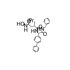 CC(C)C[C@H](CC(=O)NO)C(=O)NC(C(=O)NCc1ccccc1)c1ccc(-c2ccccc2)cc1